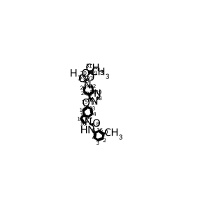 Cc1cccc(NC(=O)n2ccc3cc(Oc4ncnc5c4CCN(C(=O)OC(C)(C)C)C5)ccc32)c1